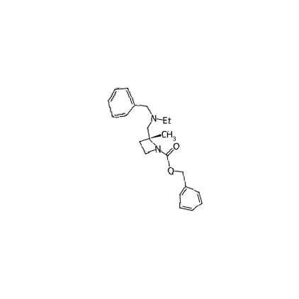 CCN(Cc1ccccc1)C[C@@]1(C)CCN1C(=O)OCc1ccccc1